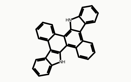 c1ccc2c(c1)[nH]c1c2c2ccccc2c2c3[nH]c4ccccc4c3c3ccccc3c12